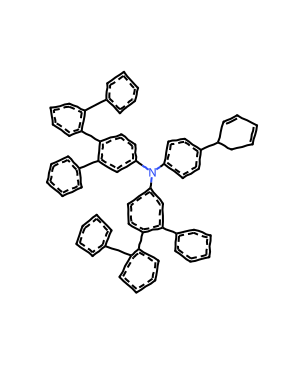 C1=CCC(c2ccc(N(c3ccc(-c4ccccc4-c4ccccc4)c(-c4ccccc4)c3)c3ccc(-c4ccccc4-c4ccccc4)c(-c4ccccc4)c3)cc2)C=C1